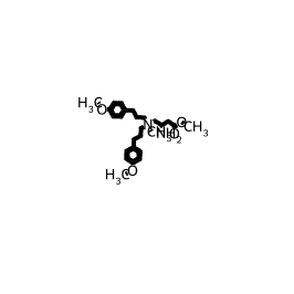 COC(=O)C[C@@H](N)C[N+](C)(CCCc1ccc(OC)cc1)CCCc1ccc(OC)cc1